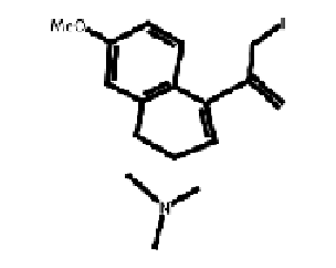 C=C(CI)C1=CCCc2cc(OC)ccc21.CN(C)C